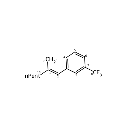 [CH2]C(=Cc1cccc(C(F)(F)F)c1)CCCCC